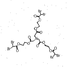 O=C(CN(CC(=O)OCCOC(=O)C(Br)Br)CC(=O)OCCOC(=O)C(Br)Br)OCCOC(=O)C(Br)Br